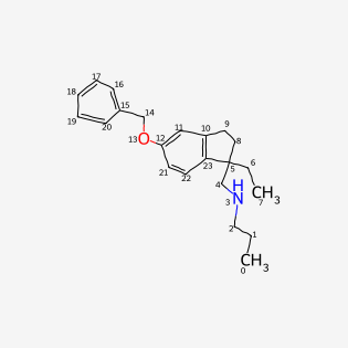 CCCNCC1(CC)CCc2cc(OCc3ccccc3)ccc21